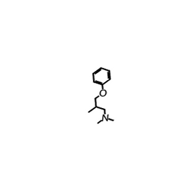 CC(COc1ccccc1)CN(C)C